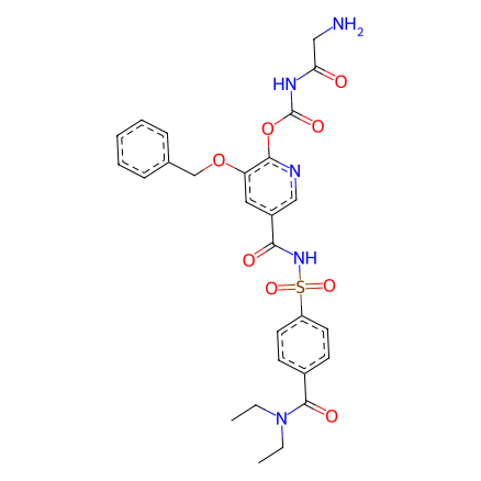 CCN(CC)C(=O)c1ccc(S(=O)(=O)NC(=O)c2cnc(OC(=O)NC(=O)CN)c(OCc3ccccc3)c2)cc1